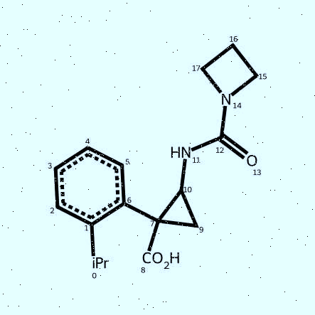 CC(C)c1ccccc1C1(C(=O)O)CC1NC(=O)N1CCC1